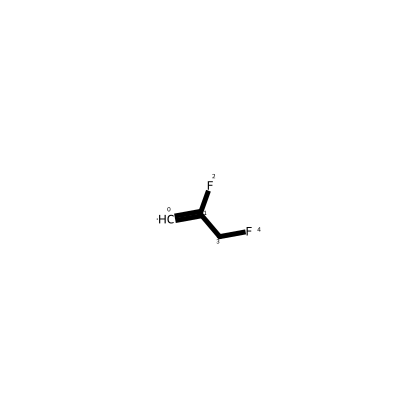 [CH]=C(F)CF